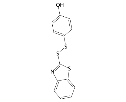 Oc1ccc(SSc2nc3ccccc3s2)cc1